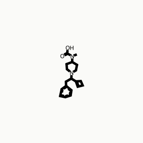 CN(C(=O)O)C1CCN(C(Cc2ccccc2)C2=CCC2)CC1